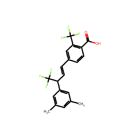 Cc1cc(C)cc(C(/C=C/c2ccc(C(=O)O)c(C(F)(F)F)c2)C(F)(F)F)c1